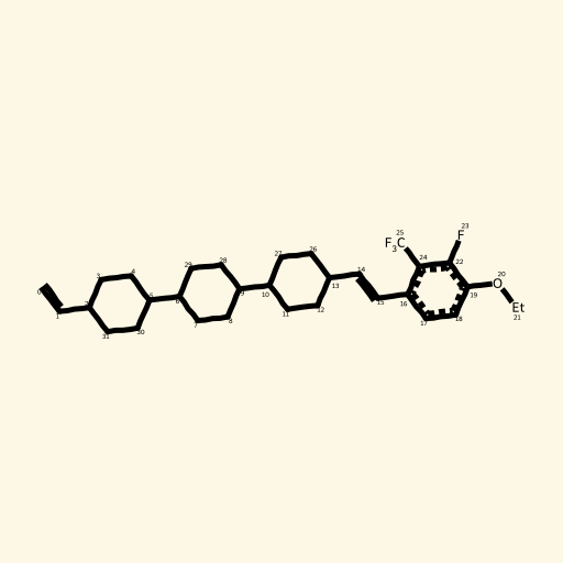 C=CC1CCC(C2CCC(C3CCC(/C=C/c4ccc(OCC)c(F)c4C(F)(F)F)CC3)CC2)CC1